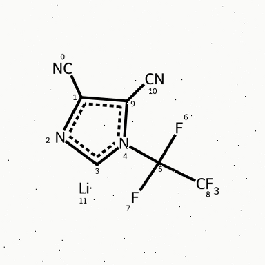 N#Cc1ncn(C(F)(F)C(F)(F)F)c1C#N.[Li]